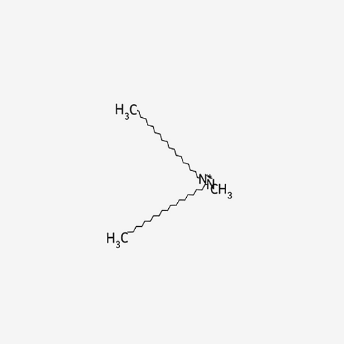 CCCCCCCCCCCCCCCCCCCc1n(C)cc[n+]1CCCCCCCCCCCCCCCCCCC